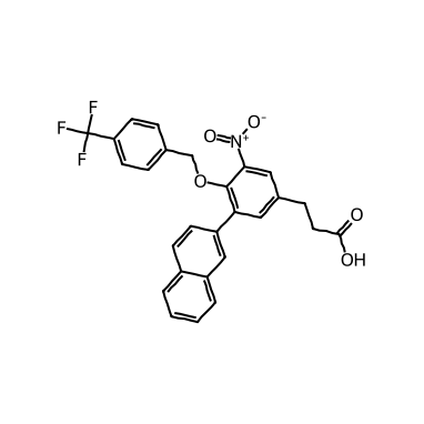 O=C(O)CCc1cc(-c2ccc3ccccc3c2)c(OCc2ccc(C(F)(F)F)cc2)c([N+](=O)[O-])c1